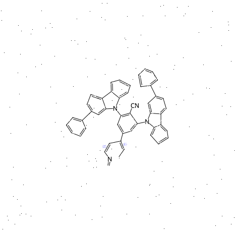 C=N/C=C\C(=C/C)c1cc(-n2c3ccccc3c3ccc(-c4ccccc4)cc32)c(C#N)c(-n2c3ccccc3c3ccc(-c4ccccc4)cc32)c1